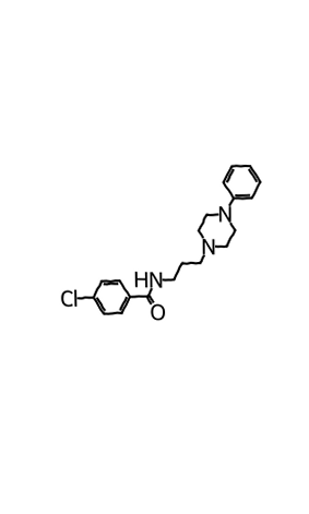 O=C(NCCCN1CCN(c2ccccc2)CC1)c1ccc(Cl)cc1